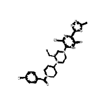 CC[C@H]1CN(c2[nH]c(=O)c(-c3nnc(C)o3)nc2Cl)CCN1C1CCN(C(=O)c2ccc(Cl)cc2)CC1